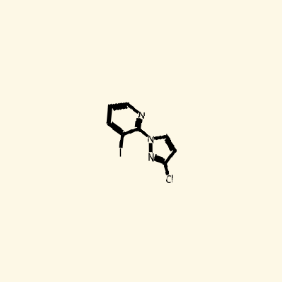 Clc1c[c]n(-c2ncccc2I)n1